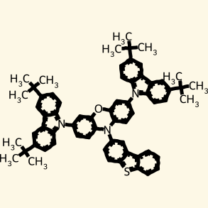 CC(C)(C)c1ccc2c(c1)c1cc(C(C)(C)C)ccc1n2-c1ccc2c(c1)Oc1cc(-n3c4ccc(C(C)(C)C)cc4c4cc(C(C)(C)C)ccc43)ccc1N2c1ccc2sc3ccccc3c2c1